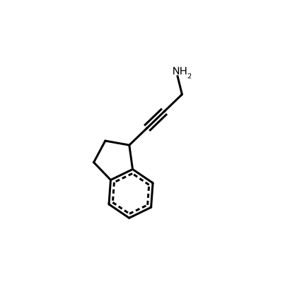 NCC#CC1CCc2ccccc21